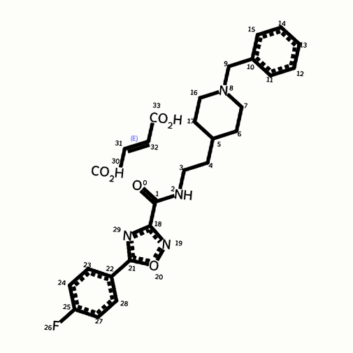 O=C(NCCC1CCN(Cc2ccccc2)CC1)c1noc(-c2ccc(F)cc2)n1.O=C(O)/C=C/C(=O)O